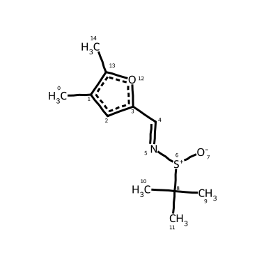 Cc1cc(C=N[S+]([O-])C(C)(C)C)oc1C